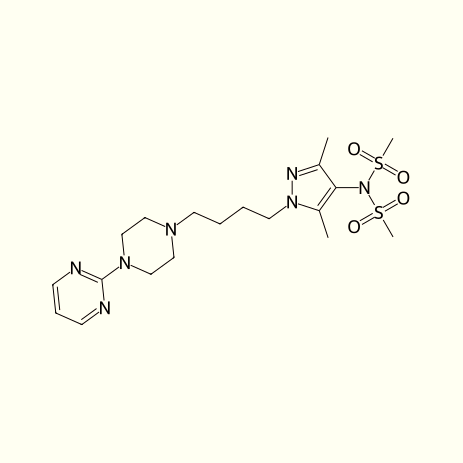 Cc1nn(CCCCN2CCN(c3ncccn3)CC2)c(C)c1N(S(C)(=O)=O)S(C)(=O)=O